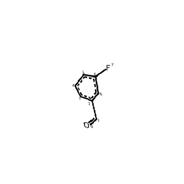 O=Cc1c[c]cc(F)c1